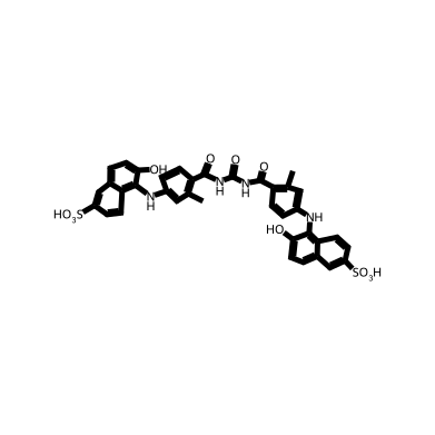 Cc1cc(Nc2c(O)ccc3cc(S(=O)(=O)O)ccc23)ccc1C(=O)NC(=O)NC(=O)c1ccc(Nc2c(O)ccc3cc(S(=O)(=O)O)ccc23)cc1C